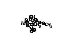 CCOCCOCCOc1ccc2c(C3=C(c4cn(C)c5cc([N+](=O)[O-])ccc45)C(=O)NC3=O)cn(C)c2c1